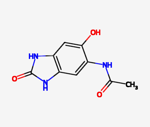 CC(=O)Nc1cc2[nH]c(=O)[nH]c2cc1O